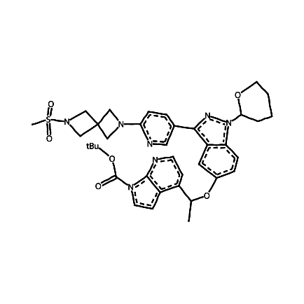 CC(Oc1ccc2c(c1)c(-c1ccc(N3CC4(C3)CN(S(C)(=O)=O)C4)nc1)nn2C1CCCCO1)c1ccnc2c1ccn2C(=O)OC(C)(C)C